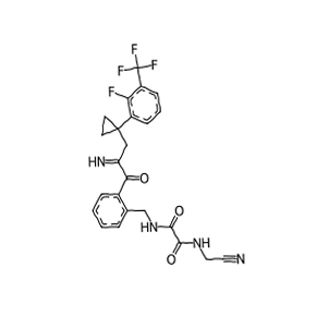 N#CCNC(=O)C(=O)NCc1ccccc1C(=O)C(=N)CC1(c2cccc(C(F)(F)F)c2F)CC1